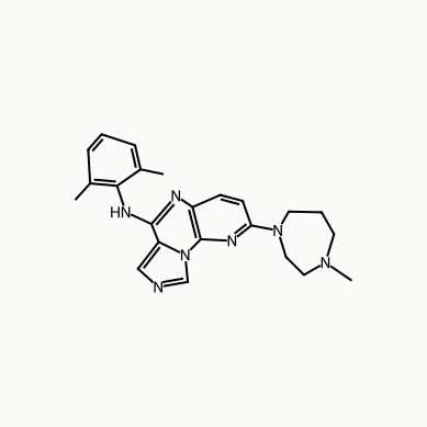 Cc1cccc(C)c1Nc1nc2ccc(N3CCCN(C)CC3)nc2n2cncc12